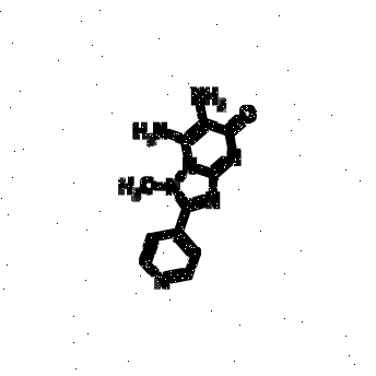 Cn1c(-c2ccncc2)nc2nc(=O)c(N)c(N)n21